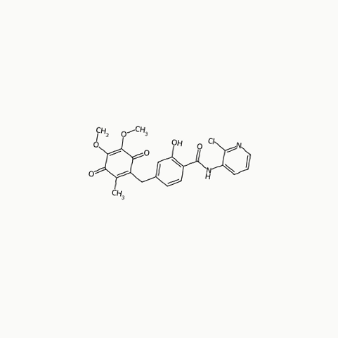 COC1=C(OC)C(=O)C(Cc2ccc(C(=O)Nc3cccnc3Cl)c(O)c2)=C(C)C1=O